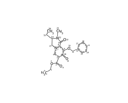 CCOC(=O)c1cn2c(c(OCc3ccccc3)c1=O)C(=O)N(C)C(CC)C2